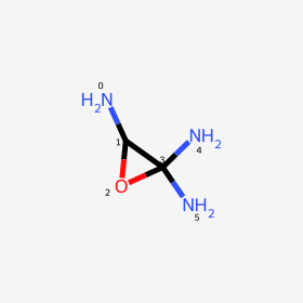 NC1OC1(N)N